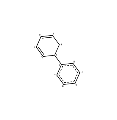 [C]1=CC=CCC1c1[c]cccc1